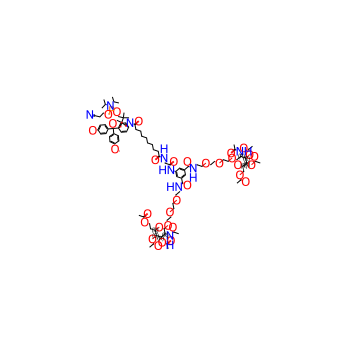 COc1ccc(C(OCC2(C)CN(C(=O)CCCCCCCCC(=O)NCC(=O)Nc3cc(C(=O)NCCOCCOCCOC4O[C@H](CCOC(C)=O)[C@H](OC(C)=O)[C@H](OC(C)=O)[C@H]4NC(C)=O)cc(C(=O)NCCOCCOCCOC4O[C@H](COC(C)=O)[C@H](OC(C)=O)[C@H](OC(C)=O)[C@H]4NC(C)=O)c3)CC2(C)COP(OCCC#N)N(C(C)C)C(C)C)(c2ccccc2)c2ccc(OC)cc2)cc1